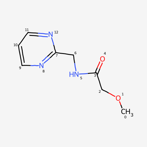 COCC(=O)NCc1ncccn1